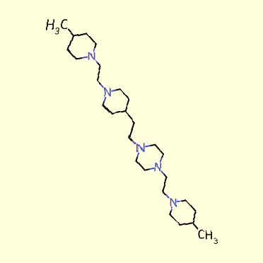 CC1CCN(CCN2CCC(CCN3CCN(CCN4CCC(C)CC4)CC3)CC2)CC1